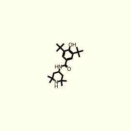 CC1(C)CC(NC(=O)c2cc(C(C)(C)C)c(O)c(C(C)(C)C)c2)CC(C)(C)N1